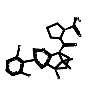 CC1(C)[C@@H]2CC[C@@]1(C(=O)N1CCC[C@H]1C(N)=O)c1nnc(-c3c(F)cccc3F)cc12